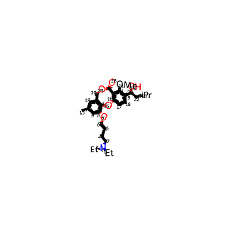 CCN(CC)CCCCOc1cc(C)cc2c1Oc1ccc(C(O)CC(C)C)c(OC)c1C(=O)OC2